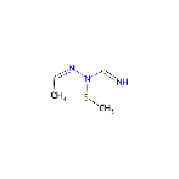 C/C=N\N(C=N)SC